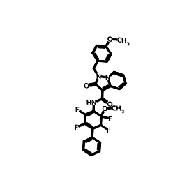 COc1ccc(Cn2c(=O)c(C(=O)NC3=C(F)C(F)=C(c4ccccc4)C(F)C3(F)OC)c3ccccn32)cc1